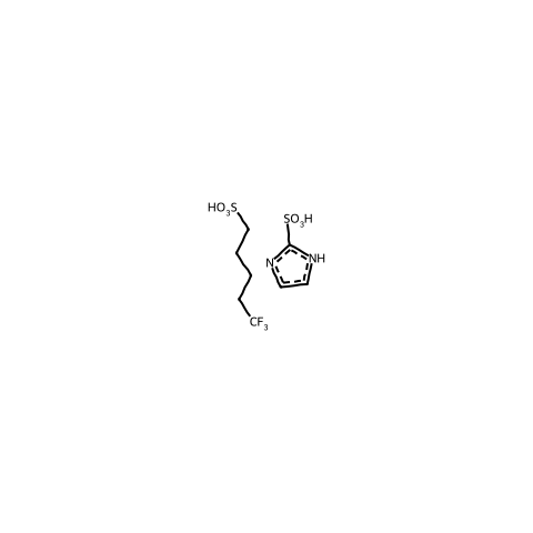 O=S(=O)(O)CCCCC(F)(F)F.O=S(=O)(O)c1ncc[nH]1